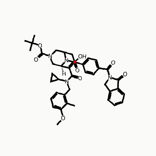 COc1cccc(CN(C(=O)C2=C(c3ccc(C(=O)N4Cc5ccccc5C4=O)cc3)CC3CN(C(=O)OC(C)(C)C)C[C@H]2N3C(=O)O)C2CC2)c1C